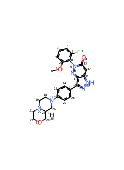 COc1cccc(F)c1-n1nc2c(-c3ccc(N4CCN5CCOC[C@@H]5C4)cc3)n[nH]c2cc1=O